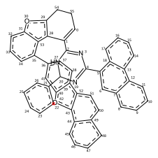 C1=C(C2=NC(c3cc4ccccc4c4ccccc34)=NC(c3ccccc3)N2)c2c(oc3cccc(-c4ccc5c(c4)oc4c6ccccc6ccc54)c23)CC1